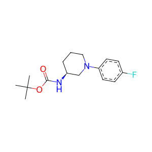 CC(C)(C)OC(=O)N[C@H]1CCCN(c2ccc(F)cc2)C1